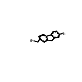 [CH2]C(C)Cc1ccc2c(c1)Cc1cc(Br)ccc1-2